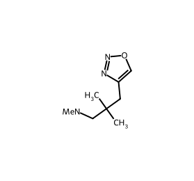 CNCC(C)(C)Cc1conn1